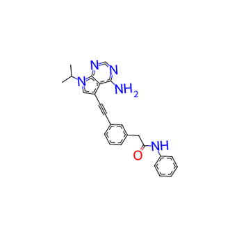 CC(C)n1cc(C#Cc2cccc(CC(=O)Nc3ccccc3)c2)c2c(N)ncnc21